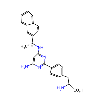 C[C@@H](Nc1cc(N)nc(-c2ccc(CC(N)C(=O)O)cc2)n1)c1ccc2ccccc2c1